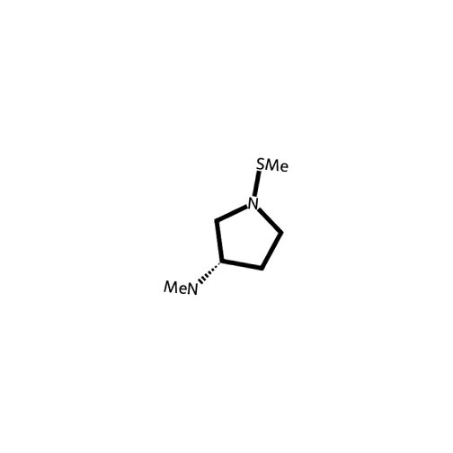 CN[C@H]1CCN(SC)C1